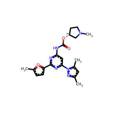 Cc1cc(C)n(-c2cc(NC(=O)O[C@@H]3CCN(C)C3)nc(-c3ccc(C)o3)n2)n1